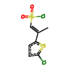 CC(=CS(=O)(=O)Cl)c1ccc(Cl)s1